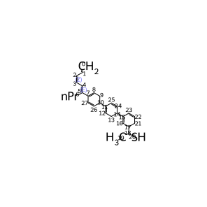 C=C/C=C\C=C(/CCC)C1=CCC(C2=CCC(C3=CC(C(C)S)CC=C3)C=C2)C=C1